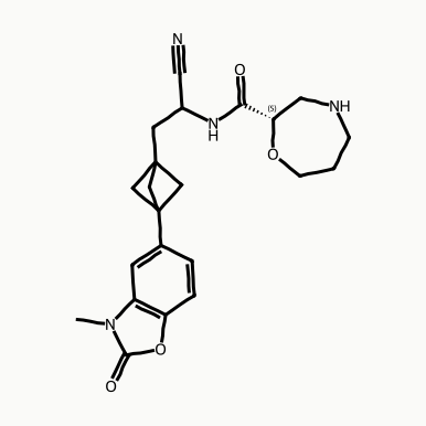 Cn1c(=O)oc2ccc(C34CC(CC(C#N)NC(=O)[C@@H]5CNCCCO5)(C3)C4)cc21